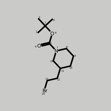 CC(C)(C)OC(=O)N1CCCC(CCBr)C1